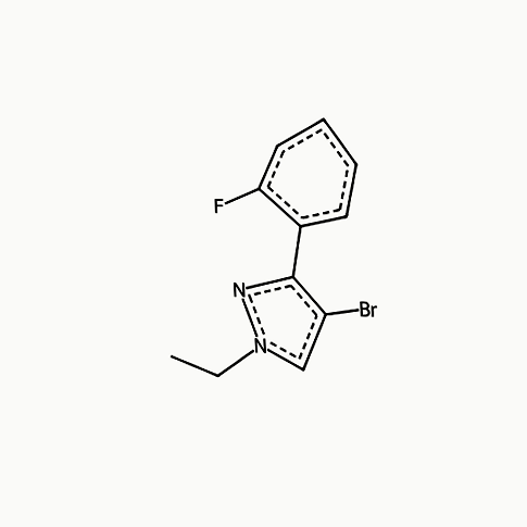 CCn1cc(Br)c(-c2ccccc2F)n1